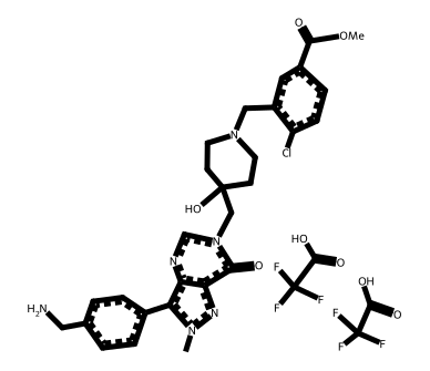 COC(=O)c1ccc(Cl)c(CN2CCC(O)(Cn3cnc4c(-c5ccc(CN)cc5)n(C)nc4c3=O)CC2)c1.O=C(O)C(F)(F)F.O=C(O)C(F)(F)F